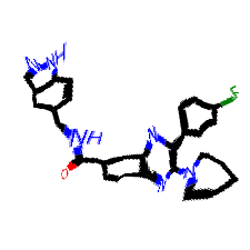 O=C(NCc1ccc2[nH]ncc2c1)c1ccc2nc(N3CCCCC3)c(-c3ccc(F)cc3)nc2c1